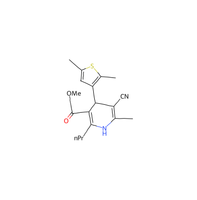 CCCC1=C(C(=O)OC)C(c2cc(C)sc2C)C(C#N)=C(C)N1